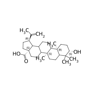 C=C(C)[C@@H]1CC[C@]2(C(=O)O)CCC3C(CCC4[C@@]3(C)CCC3C(C)(C)[C@@H](O)CC[C@@]34C)C12